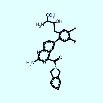 Nc1nc(C(=O)N2Cc3ccccc3C2)c2cc(-c3cc(F)c(F)cc3CC(O)C(N)C(=O)O)ccc2n1